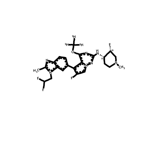 [2H]C([2H])([2H])Oc1nc(N[C@H]2CCN(C)C[C@H]2F)nn2cc(F)c(-c3ccc4nc(C)n(CC(F)F)c4c3)c12